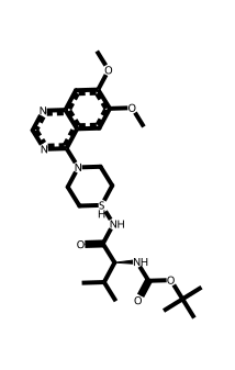 COc1cc2ncnc(N3CC[SH](NC(=O)[C@@H](NC(=O)OC(C)(C)C)C(C)C)CC3)c2cc1OC